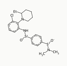 CCC1CCCCN1c1c(Cl)cccc1N[S+]([O-])c1ccc([S+]([O-])N(C)C)cc1